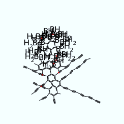 BBB(B)B(B(B)B)c1c(B(B(B)B)B(B)B)c(B(BB)B(B)B)c(B(B)B(B)B)c2c(B(B)BB)c(-c3c4c(C)c(C)c(C)c(C)c4c(-c4c(C#CC#CC#C)c(C#CC#CC)c5c(c4C#CC#CC#CC#C)c(C#CC#CC#CC#CC)c(C#CC#CC#CC#CC#C)c4c(C)c(C#C)c(C#CC)c(C#CC#C)c45)c4c(C)c(C)c(C)c(C)c34)c(BB)c(B)c12